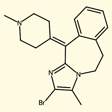 Cc1c(Br)nc2n1CCc1ccccc1C2=C1CCN(C)CC1